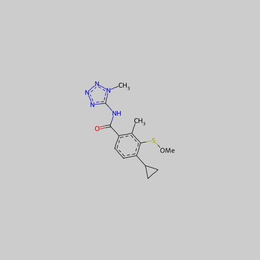 COSc1c(C2CC2)ccc(C(=O)Nc2nnnn2C)c1C